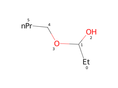 [CH2]CC(O)OCCCC